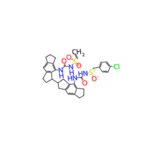 C=CS(=O)(=O)NC(=O)Nc1c2c(cc3c1C(C1Cc4cc5c(c(NC(=O)N[S+]([O-])Cc6ccc(Cl)cc6)c4C1)CCC5)CC3)CCC2